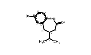 CC(C)C1CC(=O)Nc2ccc(Br)cc2C1